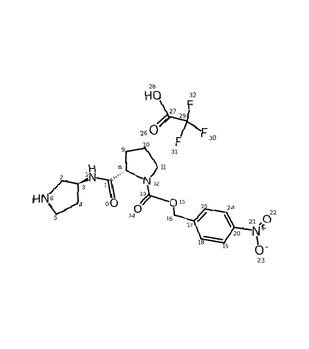 O=C(N[C@H]1CCNC1)[C@@H]1CCCN1C(=O)OCc1ccc([N+](=O)[O-])cc1.O=C(O)C(F)(F)F